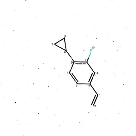 C=Cc1ccc(C2CC2)c(F)c1